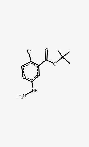 CC(C)(C)OC(=O)c1cc(NN)ncc1Br